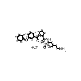 Cl.NCCCCC(NC(=O)[C@@H]1CCCN1C(=O)c1cccc(Oc2ccccc2)c1)P(=O)(O)O